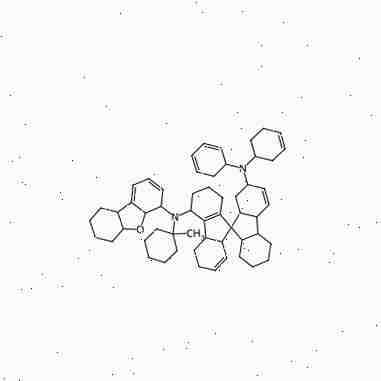 CC1(N(C2CCCC3=C2C2CCC=CC2C32C3CC(N(C4C=CC=CC4)C4CC=CCC4)C=CC3C3CCCCC32)C2C=CC=C3C4CCCCC4OC32)CCCCC1